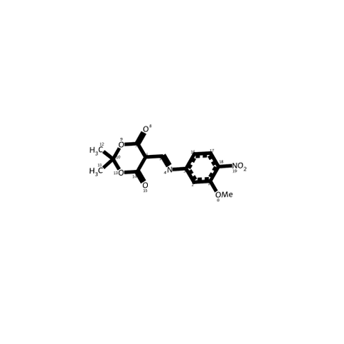 COc1cc(/N=C/C2C(=O)OC(C)(C)OC2=O)ccc1[N+](=O)[O-]